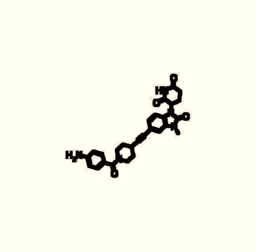 Cn1c(=O)n(C2CCC(=O)NC2=O)c2ccc(C#CC3CCN(C(=O)c4ccc(N)cc4)CC3)cc21